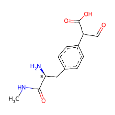 CNC(=O)[C@@H](N)Cc1ccc(C(C=O)C(=O)O)cc1